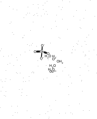 O.O.O.O.O.O=[Se](=O)([O-])[O-].[Cu+2]